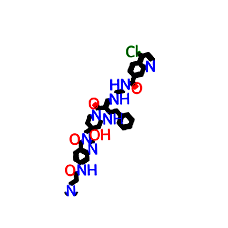 CN(C)CCC(=O)Nc1ccc2c(=O)n(CC3(O)CCN(C(=O)/C(=C/NCCNC(=O)c4ccc5c(Cl)ccnc5c4)C(=N)Cc4ccccc4)CC3)cnc2c1